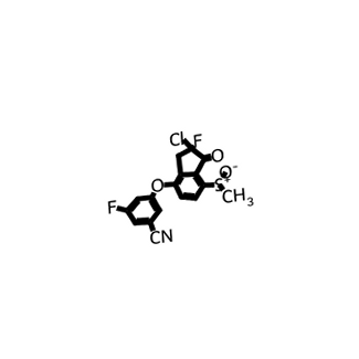 C[S+]([O-])c1ccc(Oc2cc(F)cc(C#N)c2)c2c1C(=O)C(F)(Cl)C2